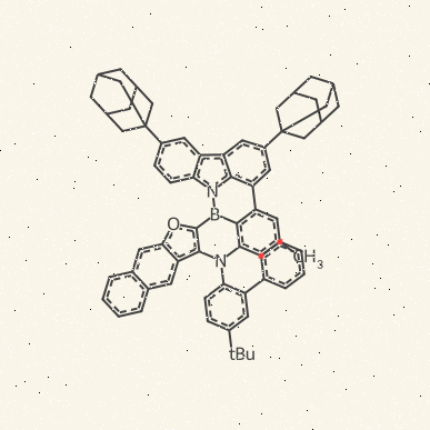 Cc1cc2c3c(c1)N(c1ccc(C(C)(C)C)cc1-c1ccccc1)c1c(oc4cc5ccccc5cc14)B3n1c3ccc(C45CC6CC(CC(C6)C4)C5)cc3c3cc(C45CC6CC(CC(C6)C4)C5)cc-2c31